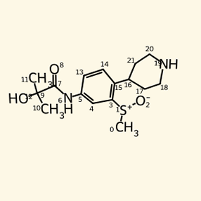 C[S+]([O-])c1cc(NC(=O)C(C)(C)O)ccc1C1CCNCC1